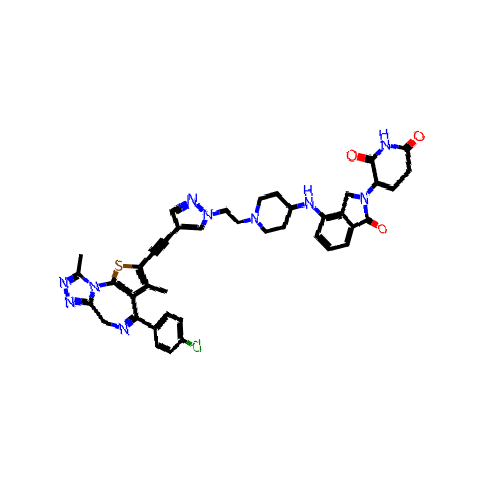 Cc1c(C#Cc2cnn(CCN3CCC(Nc4cccc5c4CN(C4CCC(=O)NC4=O)C5=O)CC3)c2)sc2c1C(c1ccc(Cl)cc1)=NCc1nnc(C)n1-2